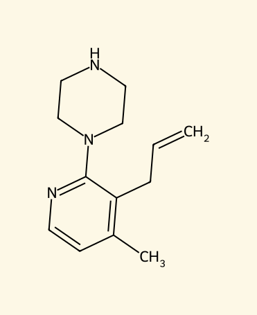 C=CCc1c(C)ccnc1N1CCNCC1